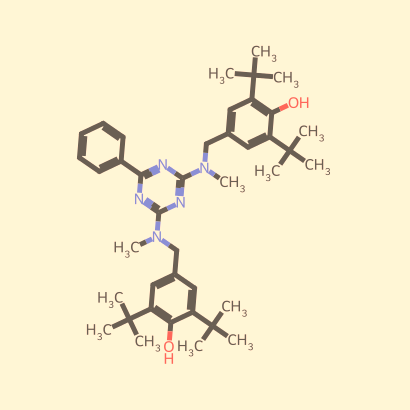 CN(Cc1cc(C(C)(C)C)c(O)c(C(C)(C)C)c1)c1nc(-c2ccccc2)nc(N(C)Cc2cc(C(C)(C)C)c(O)c(C(C)(C)C)c2)n1